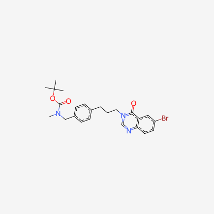 CN(Cc1ccc(CCCn2cnc3ccc(Br)cc3c2=O)cc1)C(=O)OC(C)(C)C